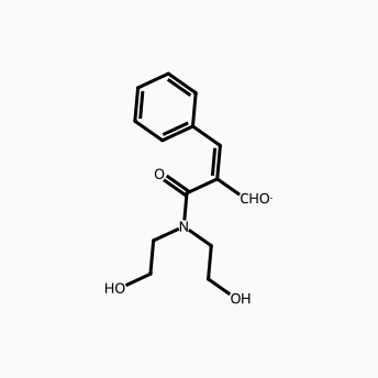 O=[C]C(=Cc1ccccc1)C(=O)N(CCO)CCO